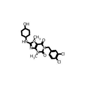 Cn1c(NC2CCC(O)CC2)nc2c1c(=O)n(Cc1ccc(Cl)c(Cl)c1)c(=O)n2C